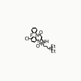 CCN(CC)CCCN1NC2=CC(=O)N(c3ccccc3F)c3cc(Cl)ccc3N2C1=O